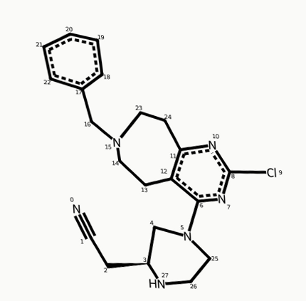 N#CC[C@H]1CN(c2nc(Cl)nc3c2CCN(Cc2ccccc2)CC3)CCN1